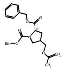 C=C(C)OCC1C[C@@H](C(=O)OCc2ccccc2)N(C(=O)OC(C)(C)C)C1